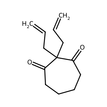 C=CCC1(CC=C)C(=O)CCCCC1=O